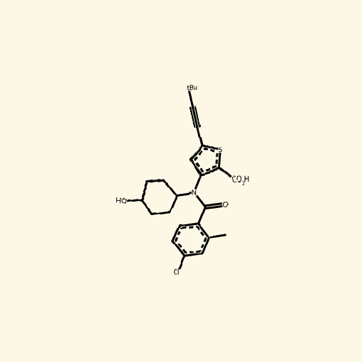 Cc1cc(Cl)ccc1C(=O)N(c1cc(C#CC(C)(C)C)sc1C(=O)O)C1CCC(O)CC1